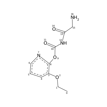 CCOc1cccnc1OC(=O)NC(=O)CN